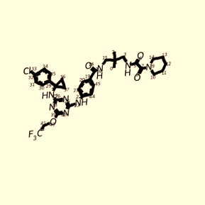 CC(C)(CNC(=O)C(=O)N1CCCCC1)CNC(=O)c1ccc(Nc2nc(NC3(c4ccc(Cl)cc4)CC3)nc(OCC(F)(F)F)n2)cc1